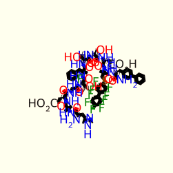 C[C@@H](O)[C@H](NC(=O)CNC(=O)[C@H](CCC(=O)O)NC(=O)C(C)(C)NC(=O)[C@@H](N)Cc1c[nH]cn1)C(=O)NC(C)(Cc1ccccc1F)C(=O)N[C@H](C(=O)N[C@@H](CO)C(=O)N[C@@H](CC(=O)O)C(=O)NC(C)(CSc1c(F)c(F)c(-c2c(F)c(F)c(F)c(F)c2F)c(F)c1F)C(=O)N[C@@H](Cc1ccc(-c2ccccc2)cc1)C(N)=O)[C@@H](C)O